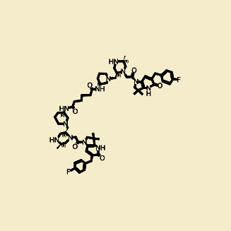 C[C@@H]1CN(CC(=O)N2CC(C)(C)c3[nH]c(=O)c(Cc4ccc(F)cc4)cc32)[C@@H](CN2CCC[C@@H](NC(=O)CCCCC(=O)N[C@@H]3CCCN(C[C@H]4CN[C@H](C)CN4CC(=O)N4CC(C)(C)c5[nH]c(=O)c(Cc6ccc(F)cc6)cc54)C3)C2)CN1